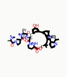 CCn1c(-c2cccnc2[C@H](C)OC)c2c3cc(ccc31)-c1cc(O)cc(c1)C[C@H](NC(=O)[C@H](C(C)C)N(C)C(=O)[C@H]1CCN(C(=O)[C@@H](C)N(C)C)C1)C(=O)N1CCC[C@@](O)(N1)C(=O)OCC(C)(C)C2